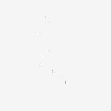 COCCOc1ccc2c(c1)ncn2-c1ccc2cccc(-c3ccc(OC)nc3)c2n1